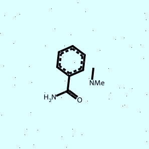 CNC.NC(=O)c1ccccc1